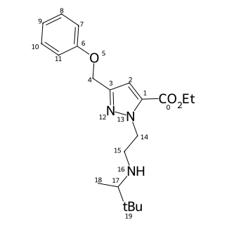 CCOC(=O)c1cc(COc2ccccc2)nn1CCNC(C)C(C)(C)C